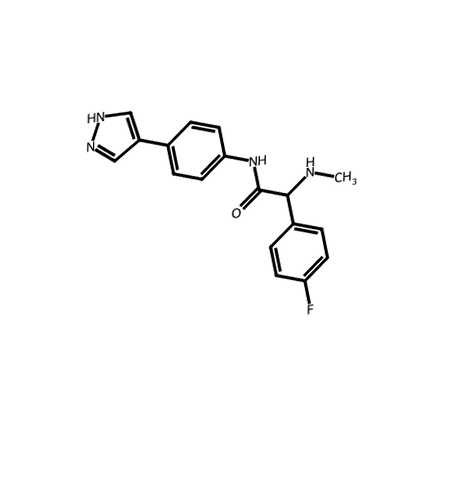 CNC(C(=O)Nc1ccc(-c2cn[nH]c2)cc1)c1ccc(F)cc1